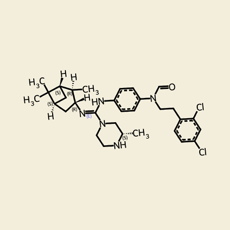 C[C@H]1[C@H](/N=C(\Nc2ccc(N(C=O)CCc3ccc(Cl)cc3Cl)cc2)N2CCN[C@@H](C)C2)C[C@@H]2C[C@@H]1C2(C)C